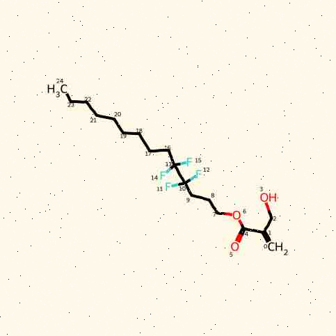 C=C(CO)C(=O)OCCCC(F)(F)C(F)(F)CCCCCCCCC